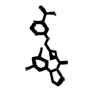 NC(=O)c1cc(OCC23CC(C(=O)N4N=CCC4c4cc(F)cc(F)c4)(C2)C3)ncn1